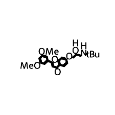 COc1cc(OC)cc(-c2cc(=O)c3ccc(OCC(O)CNC(C)(C)C)cc3o2)c1